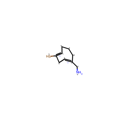 NC/C1=C\C/C(S)=C/CCC1